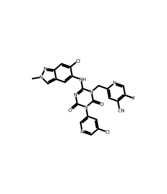 Cn1cc2cc(Nc3nc(=O)n(-c4cncc(Cl)c4)c(=O)n3Cc3cc(C#N)c(F)cn3)c(Cl)cc2n1